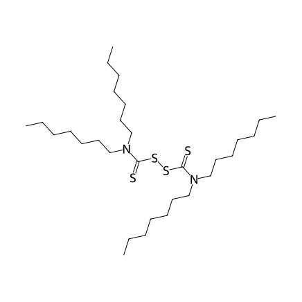 CCCCCCCN(CCCCCCC)C(=S)SSC(=S)N(CCCCCCC)CCCCCCC